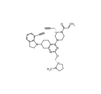 C=CC(=O)N1CCN(c2nc(OC[C@@H]3CCCN3C)nc3c2CCC(N2CCc4cccc(C#N)c42)C3)C[C@@H]1CC#N